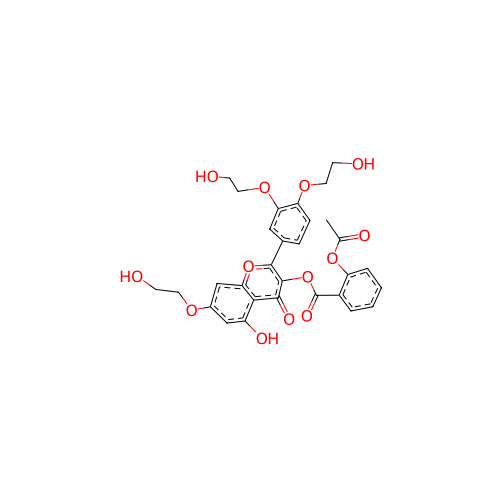 CC(=O)Oc1ccccc1C(=O)Oc1c(-c2ccc(OCCO)c(OCCO)c2)oc2cc(OCCO)cc(O)c2c1=O